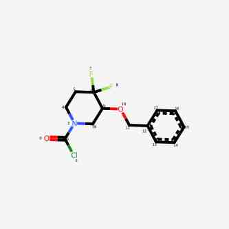 O=C(Cl)N1CCC(F)(F)C(OCc2ccccc2)C1